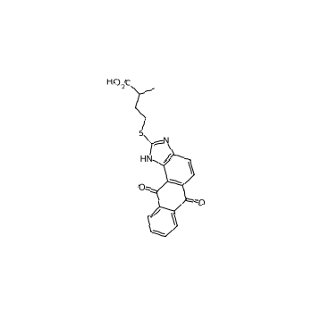 CC(CCSc1nc2ccc3c(c2[nH]1)C(=O)c1ccccc1C3=O)C(=O)O